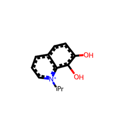 CC(C)[n+]1cccc2ccc(O)c(O)c21